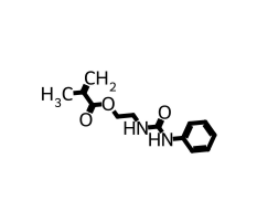 C=C(C)C(=O)OCCNC(=O)Nc1ccccc1